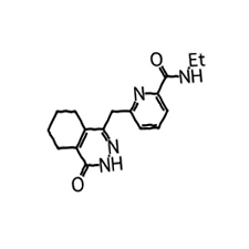 CCNC(=O)c1cccc(Cc2n[nH]c(=O)c3c2CCCC3)n1